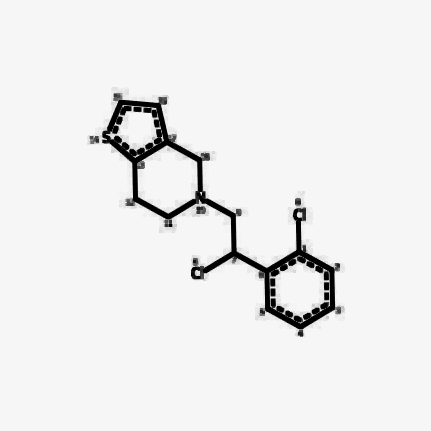 Clc1ccccc1C(Cl)CN1CCc2sccc2C1